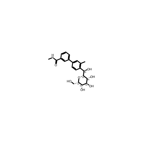 CNC(=O)c1cccc(-c2ccc([C@@H](O)[C@H]3O[C@@H](CO)[C@@H](O)[C@H](O)[C@H]3O)c(C)c2)c1